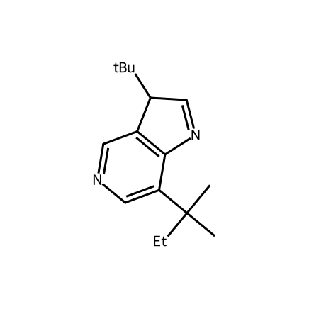 CCC(C)(C)c1cncc2c1N=CC2C(C)(C)C